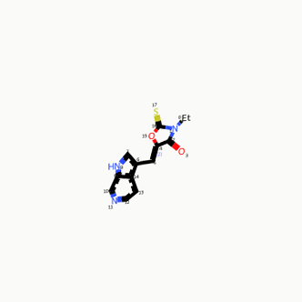 CCN1C(=O)/C(=C/c2c[nH]c3cnccc23)OC1=S